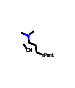 CC#N.CCCCCCCCN(C)C